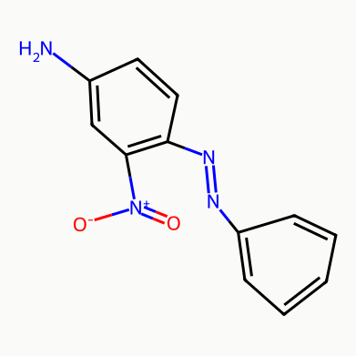 Nc1ccc(N=Nc2ccccc2)c([N+](=O)[O-])c1